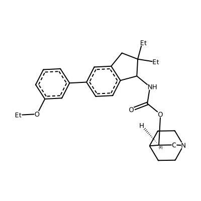 CCOc1cccc(-c2ccc3c(c2)CC(CC)(CC)C3NC(=O)O[C@H]2CN3CCC2CC3)c1